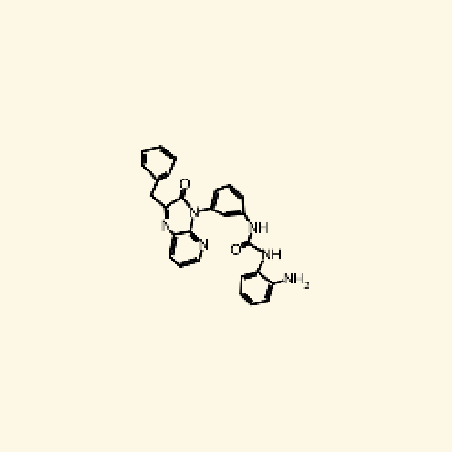 Nc1ccccc1NC(=O)Nc1cccc(-n2c(=O)c(Cc3ccccc3)nc3cccnc32)c1